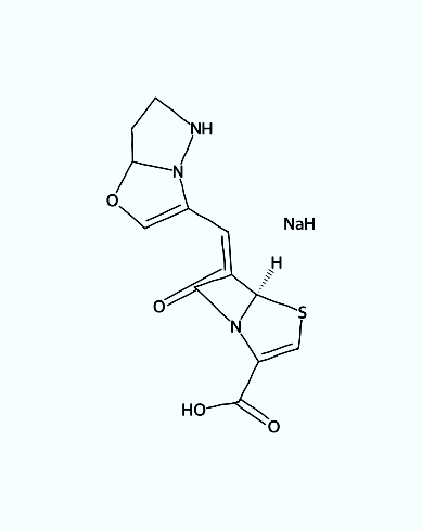 O=C(O)C1=CS[C@@H]2C(=CC3=COC4CCNN34)C(=O)N12.[NaH]